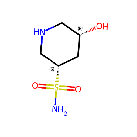 NS(=O)(=O)[C@@H]1CNC[C@H](O)C1